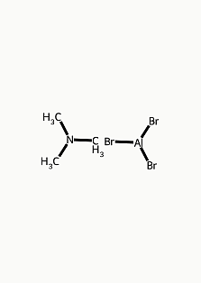 CN(C)C.[Br][Al]([Br])[Br]